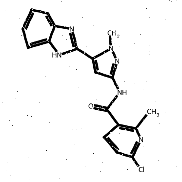 Cc1nc(Cl)ccc1C(=O)Nc1cc(-c2nc3ccccc3[nH]2)n(C)n1